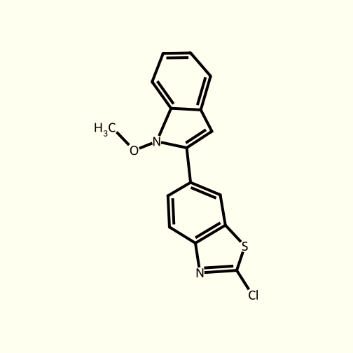 COn1c(-c2ccc3nc(Cl)sc3c2)cc2ccccc21